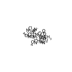 C[C@@H]1OC(=O)c2ccc(N(CC(CO)(N=[N+]=[N-])c3cnc(OC4CC4)c4cnc(Cl)cc34)c3cc4c(C(C)(CO)N=[N+]=[N-])cnc(OC5CC5)c4cn3)nc2[C@H]1C